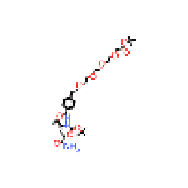 C[C@@H](OCc1ccc(CCOCCOCCOCCOCC(=O)OC(C)(C)C)cc1)[C@H](CCC(N)=O)NC(=O)OC(C)(C)C